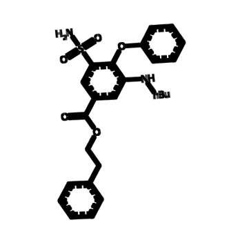 CCCCNc1cc(C(=O)OCCc2ccccc2)cc(S(N)(=O)=O)c1Oc1ccccc1